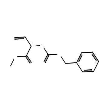 C=C[C@@H](NC(=O)OCc1ccccc1)C(=O)OC